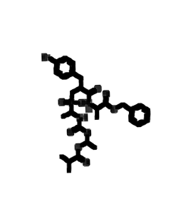 CC(OC(=O)NC(C)P(=O)(O)CC(Cc1ccc(Br)cc1)C(=O)NC(C)C(=O)OCc1ccccc1)OC(=O)C(C)C